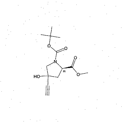 C#CC1(O)C[C@H](C(=O)OC)N(C(=O)OC(C)(C)C)C1